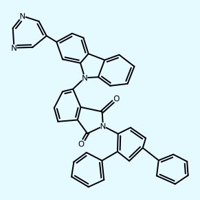 O=C1c2cccc(-n3c4ccccc4c4ccc(-c5cncnc5)cc43)c2C(=O)N1c1ccc(-c2ccccc2)cc1-c1ccccc1